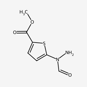 COC(=O)c1ccc(N(N)C=O)s1